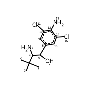 CC(C)(C)C(N)C(O)c1cc(Cl)c(N)c(Cl)c1